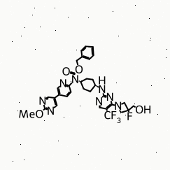 COc1ncc(-c2ccc(N(C(=O)OCc3ccccc3)[C@H]3CC[C@H](Nc4ncc(C(F)(F)F)c(N5CC(F)(CO)C5)n4)CC3)nc2)cn1